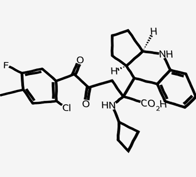 O=C(CC(NC1CCC1)(C(=O)O)C1c2ccccc2N[C@@H]2CCC[C@H]12)C(=O)c1cc(F)c(F)cc1Cl